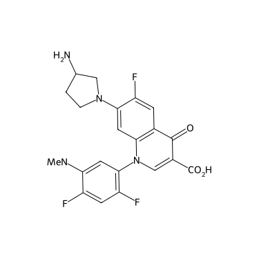 CNc1cc(-n2cc(C(=O)O)c(=O)c3cc(F)c(N4CCC(N)C4)cc32)c(F)cc1F